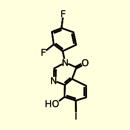 O=c1c2ccc(I)c(O)c2ncn1-c1ccc(F)cc1F